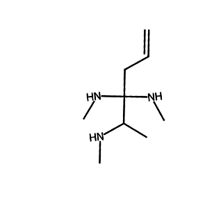 C=CCC(NC)(NC)C(C)NC